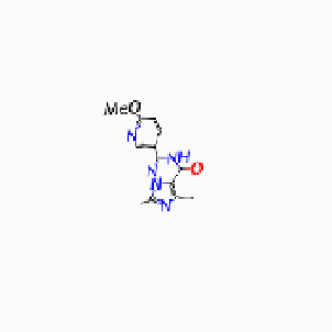 COc1ccc(-c2nn3c(C)nc(C)c3c(=O)[nH]2)cn1